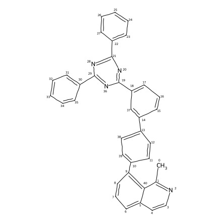 Cc1nccc2cccc(-c3ccc(-c4cccc(-c5nc(-c6ccccc6)nc(-c6ccccc6)n5)c4)cc3)c12